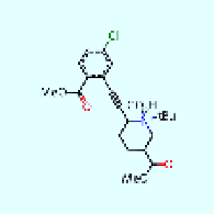 COC(=O)c1ccc(Cl)cc1C#CC1CCC(C(=O)OC)C[N+]1(C(=O)O)C(C)(C)C